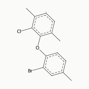 Cc1ccc(Oc2c(C)c[c]c(C)c2Cl)c(Br)c1